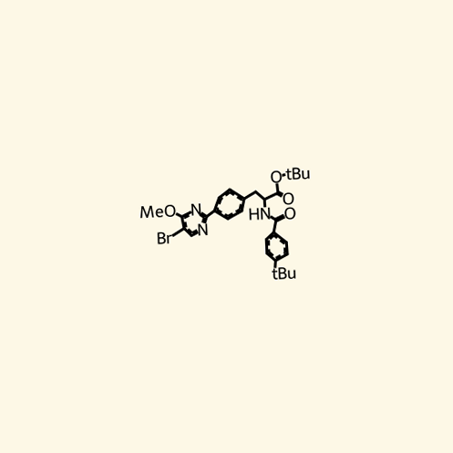 COc1nc(-c2ccc(CC(NC(=O)c3ccc(C(C)(C)C)cc3)C(=O)OC(C)(C)C)cc2)ncc1Br